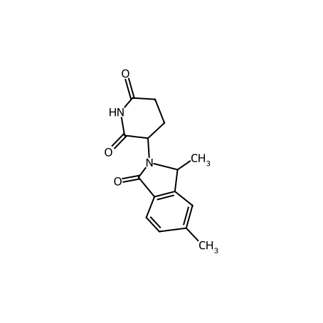 Cc1ccc2c(c1)C(C)N(C1CCC(=O)NC1=O)C2=O